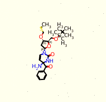 CSCO[C@H]1C[C@H](N2C=CC(N)(C(=O)c3ccccc3)NC2=O)O[C@@H]1CO[Si](C)(C)C(C)(C)C